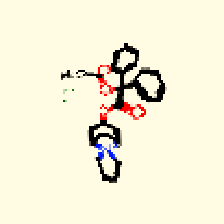 COC(=O)OC(C(=O)OC1CC2CCC(C1)[N+]21CCCC1)(c1ccccc1)c1ccccc1.[Cl-]